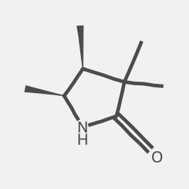 C[C@@H]1NC(=O)C(C)(C)[C@@H]1C